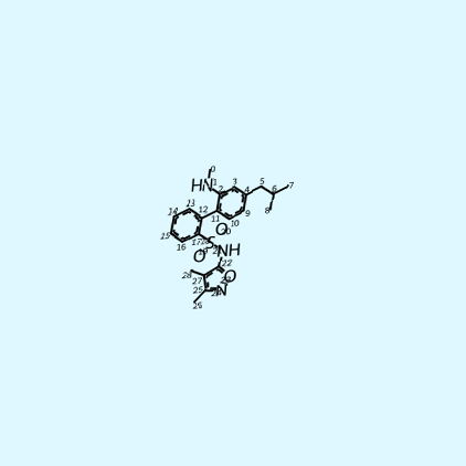 CNc1cc(CC(C)C)ccc1-c1ccccc1S(=O)(=O)Nc1onc(C)c1C